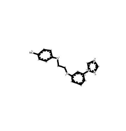 N#Cc1ccc(OCCOc2cccc(-n3cncn3)c2)cc1